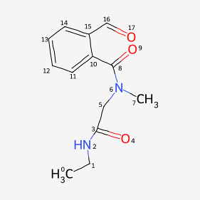 CCNC(=O)CN(C)C(=O)c1ccccc1C=O